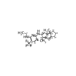 CCNc1nc(Nc2cn([C@]3(C)CCCC3=O)nc2C)ncc1C(F)(F)F